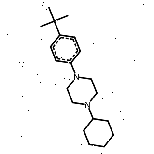 CC(C)(C)c1ccc(N2CCN(C3CCCCC3)CC2)cc1